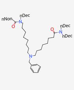 CCCCCCCCCCN(CCCCCCCCN(CCCCCCCC(=O)N(CCCCCCCCCC)CCCCCCCCCC)Cc1ccccc1)C(=O)CCCCCCCCC